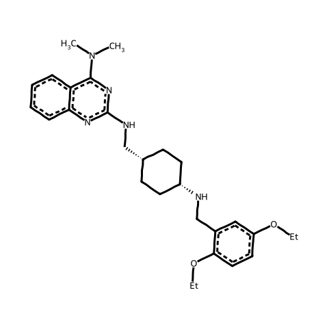 CCOc1ccc(OCC)c(CN[C@H]2CC[C@@H](CNc3nc(N(C)C)c4ccccc4n3)CC2)c1